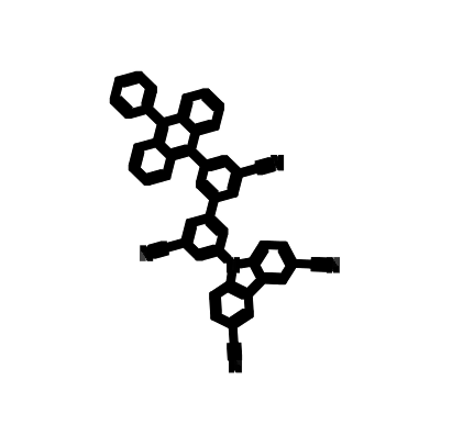 N#Cc1cc(-c2cc(C#N)cc(-n3c4ccc(C#N)cc4c4cc(C#N)ccc43)c2)cc(-c2c3ccccc3c(-c3ccccc3)c3ccccc23)c1